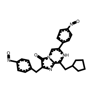 O=Nc1ccc(Cc2nc3c(CC4CCCC4)[nH]c(-c4ccc(N=O)cc4)cn-3c2=O)cc1